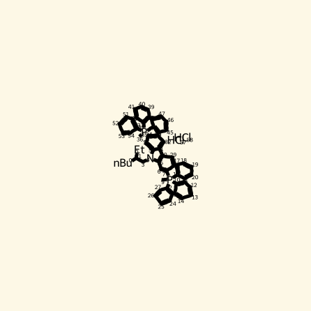 CCCCC(CC)Cn1c2cc(P(C)(c3ccccc3)(c3ccccc3)c3ccccc3)ccc2c2ccc(P(C)(c3ccccc3)(c3ccccc3)c3ccccc3)cc21.Cl.Cl